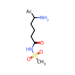 CC(=O)C(N)CCCC(=O)NS(C)(=O)=O